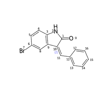 O=C1Nc2ccc(Br)cc2/C1=C/c1ccccc1